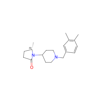 Cc1ccc(CN2CCC(N3C(=O)CC[C@@H]3C)CC2)cc1C